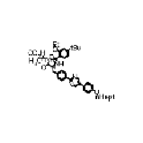 CCCCCCCOc1ccc(-c2cnc(-c3ccc(C[C@H](NC(=O)c4ccc(C(C)(C)C)cc4OCC)C(=O)N[C@H](C)C(=O)O)cc3)nc2)cc1